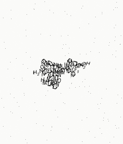 CCC1(N)CCN(c2cccnc2NC(=O)c2nc(-c3ncc(Nc4ncc(-c5ncccc5C(F)(F)F)nc4C(=O)Nc4ncccc4N4CCC(N)(CCO)CC4)cc3OC(F)(F)F)cnc2Nc2cnc(-c3cnc(N)c(C(=O)Nc4ncccc4N4CCC(C)(N)CC4)n3)c(C#N)c2OC)CC1